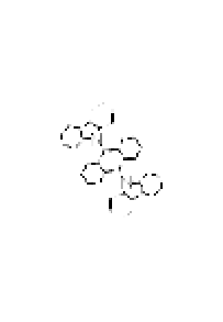 C1=Cc2c(c3ccccc3n2-c2c3ccccc3c(-n3c4c(c5ccccc53)CCC=C4)c3ccccc23)CC1